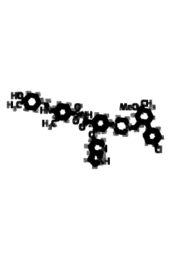 COC1(C)CCC(c2ccc(Cl)cc2)=C(CN2CCN(c3ccc(C(=O)NS(=O)(=O)c4ccc(NC[C@H]5CC[C@@](C)(O)CC5)c(C)c4)c(Oc4cnc5[nH]ccc5c4)c3)CC2)C1